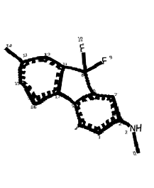 CNc1ccc2c(c1)C(F)(F)c1cc(C)ccc1-2